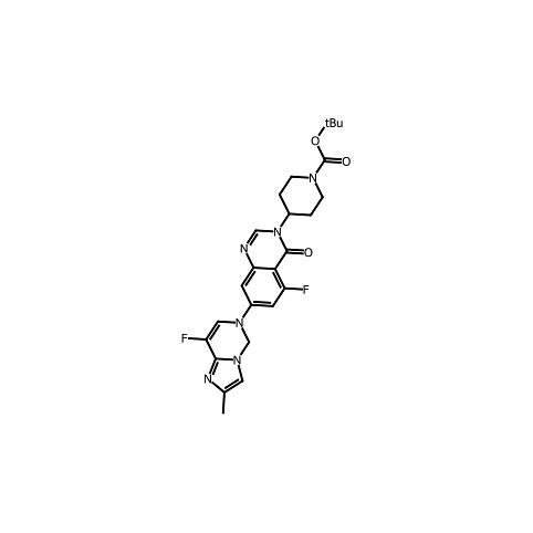 Cc1cn2c(n1)C(F)=CN(c1cc(F)c3c(=O)n(C4CCN(C(=O)OC(C)(C)C)CC4)cnc3c1)C2